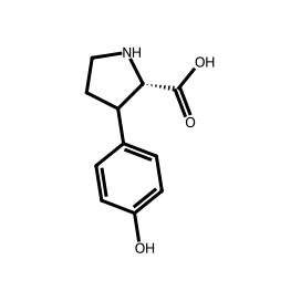 O=C(O)[C@H]1NCCC1c1ccc(O)cc1